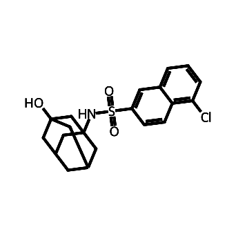 O=S(=O)(NC12CC3CC(CC(O)(C3)C1)C2)c1ccc2c(Cl)cccc2c1